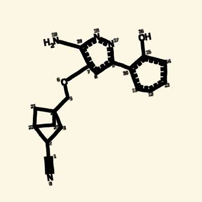 N#CC1CC2(COc3cc(-c4ccccc4O)nnc3N)CC1C2